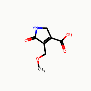 COCC1=C(C(=O)O)CNC1=O